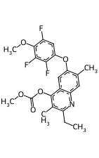 CCc1nc2cc(C)c(Oc3cc(F)c(OC)c(F)c3F)cc2c(OC(=O)OC)c1C